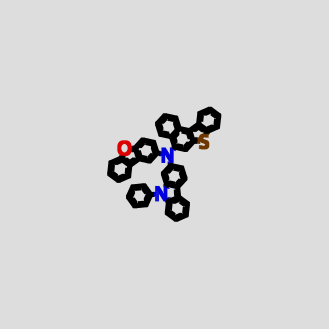 c1ccc(-n2c3ccccc3c3ccc(N(c4ccc5oc6ccccc6c5c4)c4cc5sc6ccccc6c5c5ccccc45)cc32)cc1